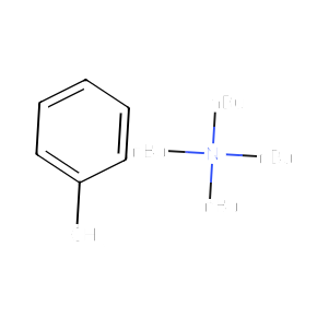 CCCC[N+](CCCC)(CCCC)CCCC.Cc1ccccc1